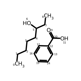 CCCCCC(O)CC.O=C(O)c1ccccc1